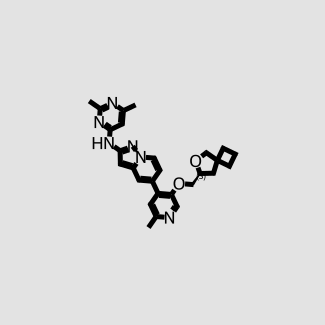 Cc1cc(-c2ccn3nc(Nc4cc(C)nc(C)n4)cc3c2)c(OC[C@@H]2CC3(CCC3)CO2)cn1